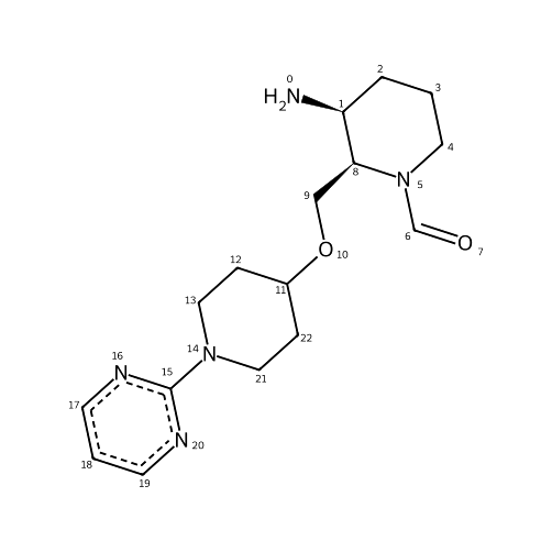 N[C@H]1CCCN(C=O)[C@H]1COC1CCN(c2ncccn2)CC1